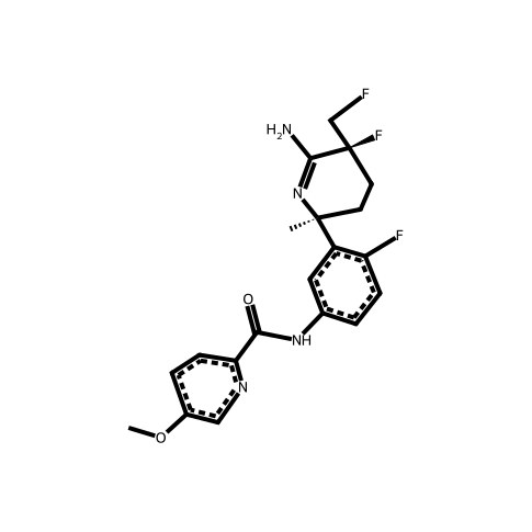 COc1ccc(C(=O)Nc2ccc(F)c([C@]3(C)CC[C@@](F)(CF)C(N)=N3)c2)nc1